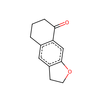 O=C1CCCc2cc3c(cc21)OCC3